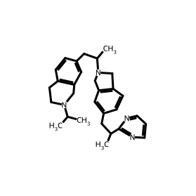 CC(Cc1ccc2c(c1)CN(C(C)Cc1ccc3c(c1)CN(C(C)C)CC3)C2)c1ncccn1